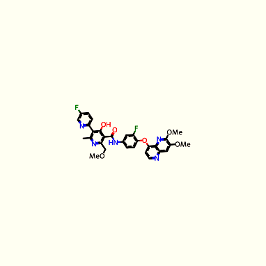 COCc1nc(C)c(-c2ccc(F)cn2)c(O)c1C(=O)Nc1ccc(Oc2ccnc3cc(OC)c(OC)nc23)c(F)c1